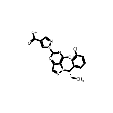 CC[C@@H](c1cccc(Cl)c1)n1ncc2nc(-n3cc(C(=O)O)cn3)nc(O)c21